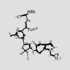 CNC(=O)N/C=C(\C=O)c1cc(N2CC(Oc3cc4c(cnn4CC(F)(F)F)cc3F)C(F)(F)C2)nc(C)n1